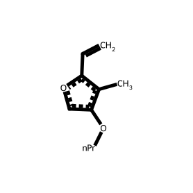 C=Cc1occ(OCCC)c1C